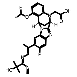 C=N/C(=N\C=C(/C)c1cc2c(cc1F)nc1n2[C@@H]2C[C@H]1N(CC(=O)O)c1cccc(OC(F)F)c12)C(C)(C)O